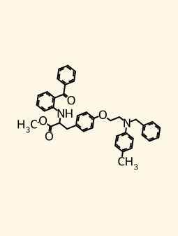 COC(=O)C(Cc1ccc(OCCN(Cc2ccccc2)c2ccc(C)cc2)cc1)Nc1ccccc1C(=O)c1ccccc1